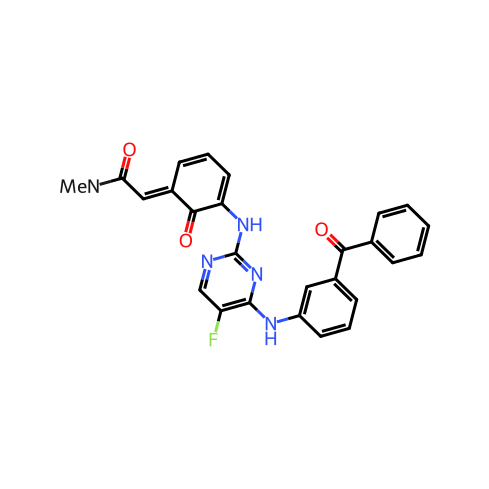 CNC(=O)C=C1C=CC=C(Nc2ncc(F)c(Nc3cccc(C(=O)c4ccccc4)c3)n2)C1=O